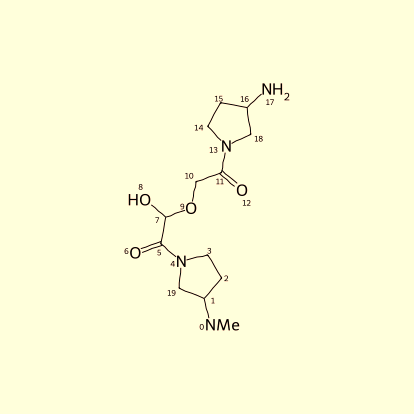 CNC1CCN(C(=O)C(O)OCC(=O)N2CCC(N)C2)C1